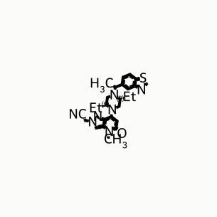 CC[C@H]1CN(C(C)c2ccc3scnc3c2)[C@H](CC)CN1c1cc(=O)n(C)c2cn(CC#N)nc12